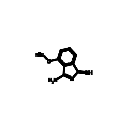 CCCCOc1cccc2c1C(N)=NC2=N